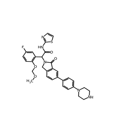 COCOc1ccc(F)cc1C(C(=O)Nc1nccs1)N1Cc2ccc(-c3ccc(N4CCNCC4)cc3)cc2C1=O